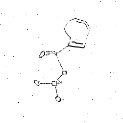 O=C(O[Cl+2]([O-])[O-])C1=CC=CC1